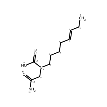 CCC=CCCCCN(CC(N)=O)C(=O)O